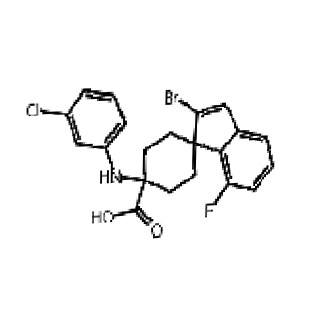 O=C(O)C1(Nc2cccc(Cl)c2)CCC2(CC1)C(Br)=Cc1cccc(F)c12